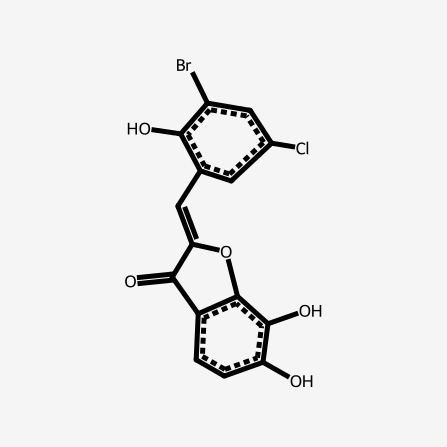 O=C1C(=Cc2cc(Cl)cc(Br)c2O)Oc2c1ccc(O)c2O